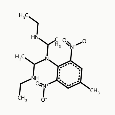 CCNC(C)N(c1c([N+](=O)[O-])cc(C)cc1[N+](=O)[O-])C(C)NCC